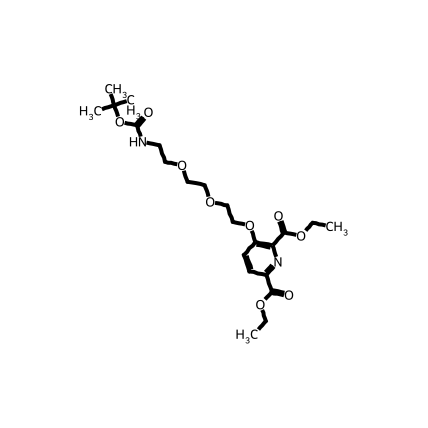 CCOC(=O)c1ccc(OCCOCCOCCNC(=O)OC(C)(C)C)c(C(=O)OCC)n1